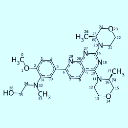 COc1ccc(-c2ccc3c(N4CCOC[C@@H]4C)nc(N4CCOC[C@@H]4C)nc3n2)cc1N(C)CCO